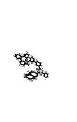 c1ccc(-c2nc(-c3cccc(-c4cccc(-c5nc6cccc7c6n5-c5ccccc5-c5ccccc5-7)c4)c3)nc(-c3ccc4ccccc4c3)n2)cc1